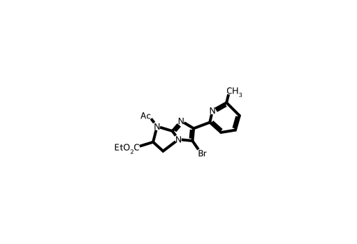 CCOC(=O)C1Cn2c(nc(-c3cccc(C)n3)c2Br)N1C(C)=O